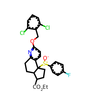 CCOC(=O)C1CCC2([S+]([O-])c3ccc(F)cc3)c3ccc(OCc4c(Cl)cccc4Cl)nc3CCC12